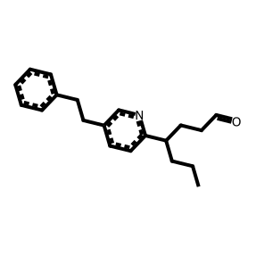 CCCC(CCC=O)c1ccc(CCc2ccccc2)cn1